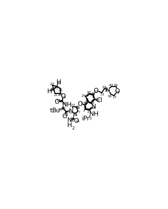 CC(C)Nc1cc(O[C@@H]2C[C@@H](C(N)=O)N(C(=O)[C@@H](NC(=O)O[C@@H]3C[C@@H]4C[C@@H]4C3)C(C)(C)C)C2)c2ccc(OCCN3CCOCC3)c(Cl)c2n1